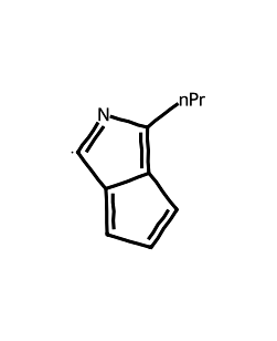 CCCC1=C2C=CC=C2[C]=N1